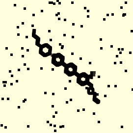 C=CCOCc1ccc(-c2ccc(-c3ccc([C@H]4CC[C@H](C=CCC)CC4)cc3)cc2)cc1F